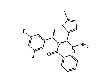 Cc1ccc([C@@H](C(N)=O)N(C(=O)c2ccccc2)[C@H](C)c2cc(F)cc(F)c2)s1